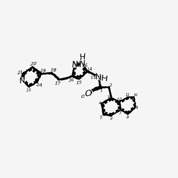 O=C(Cc1cccc2ccccc12)Nc1cc(CCc2ccncc2)n[nH]1